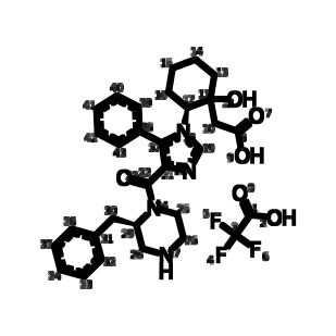 O=C(O)C(F)(F)F.O=C(O)CC1(O)CCCC[C@@H]1n1cnc(C(=O)N2CCNC[C@H]2Cc2ccccc2)c1-c1ccccc1